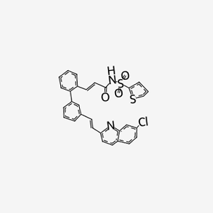 O=C(C=Cc1ccccc1-c1cccc(C=Cc2ccc3ccc(Cl)cc3n2)c1)NS(=O)(=O)c1cccs1